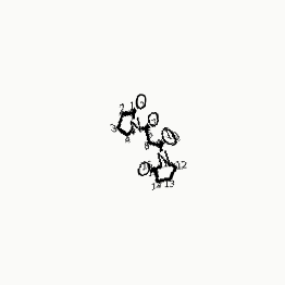 O=C1CCCN1C(=O)CC(=O)N1CCCC1=O